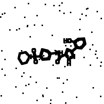 O=C(Nc1ccc(S(=O)(=O)N2CCCCC2)cc1)c1cc(-c2ccccc2O)n[nH]1